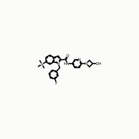 C[Si](C)(C)c1ccc2cc(C(=O)Nc3ccc(N4CC(O)C4)nc3)n(Cc3cccc(F)c3)c2c1